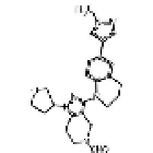 Cn1cc(-c2ccc3c(c2)CCCN3c2nn(C3CCOC3)c3c2CN(C=O)CC3)cn1